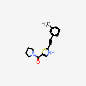 Cc1cccc(C#CC2NC=C(C(=O)N3CCCC3)S2)c1